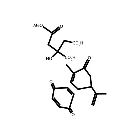 C=C(C)C1CC=C(C)C(=O)C1.COC(=O)CC(O)(CC(=O)O)C(=O)O.O=C1C=CC(=O)C=C1